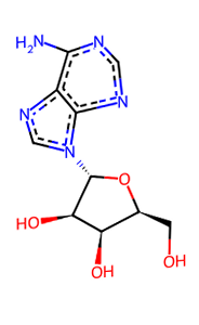 Nc1ncnc2c1ncn2[C@@H]1O[C@@H](CO)[C@@H](O)[C@H]1O